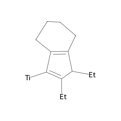 CCC1=[C]([Ti])C2=C(CCCC2)C1CC